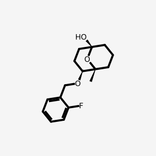 C[C@@]12CCC[C@@](O)(CC[C@@H]1OCc1ccccc1F)O2